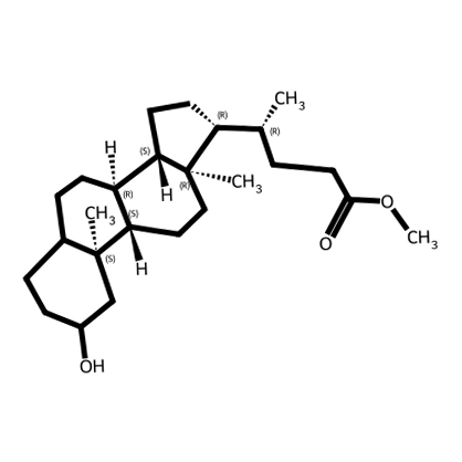 COC(=O)CC[C@@H](C)[C@H]1CC[C@H]2[C@@H]3CCC4CCC(O)C[C@]4(C)[C@H]3CC[C@]12C